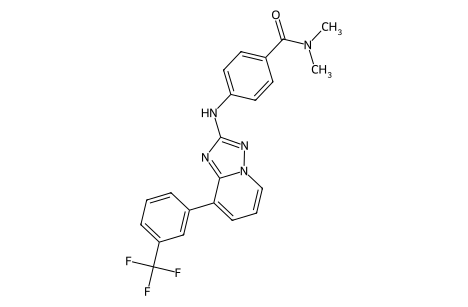 CN(C)C(=O)c1ccc(Nc2nc3c(-c4cccc(C(F)(F)F)c4)cccn3n2)cc1